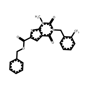 Cn1c(=O)n(Cc2ccccc2C(F)(F)F)c(=O)c2cc(C(=O)OCc3ccccc3)sc21